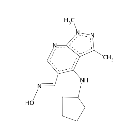 Cc1nn(C)c2ncc(C=NO)c(NC3CCCC3)c12